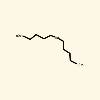 CCCCCCCCCCCCC[CH2][Ru][CH2]CCCCCCCCCCCCC